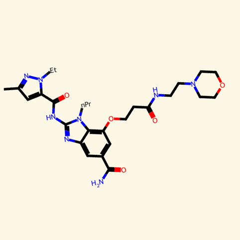 CCCn1c(NC(=O)c2cc(C)nn2CC)nc2cc(C(N)=O)cc(OCCC(=O)NCCN3CCOCC3)c21